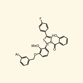 COc1c(OCc2cccc(C(C)=O)c2)cccc1[C@H]1SC(c2ccc(F)cc2)=NN1C(=O)c1ccccc1O